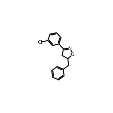 Clc1cccc(C2=NOC(Cc3ccccc3)C2)c1